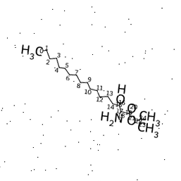 CCCCCCCCCCCCCCCC(O)C(N)C(=O)OC(C)C